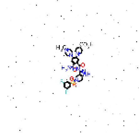 CN1CCN(c2cc(C(N)=O)c(C(=O)Nc3n[nH]c4c3CN(S(=O)(=O)c3cc(F)cc(F)c3)CC4)cc2N2CCC(C(=O)O)CC2)CC1